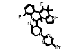 CCc1cccc2c1-n1nc3c(c1C1(C)C2=C(F)C(C)(C)c2[nH]ccc21)CN(c1ncc(C(C)C)cn1)CC3